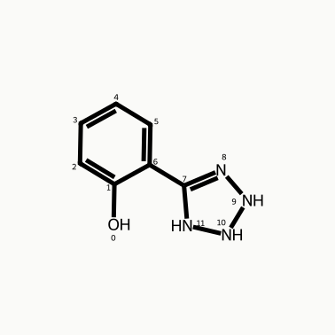 Oc1ccccc1C1=NNNN1